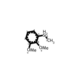 COc1cccc([SiH2]C)c1OC